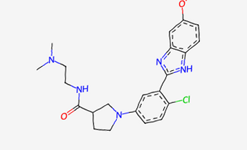 COc1ccc2[nH]c(-c3cc(N4CCC(C(=O)NCCN(C)C)C4)ccc3Cl)nc2c1